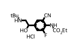 CCOC(=O)Nc1c(F)cc(C(O)CNC(C)(C)C)cc1C#N.Cl